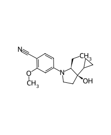 CC[C@@H]1N(c2ccc(C#N)c(OC)c2)CC[C@@]1(O)C1CC1